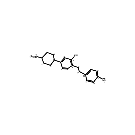 CCCCCC1CCC(c2ccc(CCc3ccc(C#N)cc3)c(F)c2)CC1